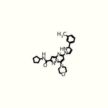 Cc1cccc(C2C=CN(c3cc(N4CCOCC4)n4nc(C(=O)NC5CCCC5)cc4n3)N2)c1